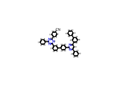 N#Cc1ccc(-c2nc(-c3ccccc3)nc(-c3cccc(-c4ccc(-c5nc(-c6ccccc6)cc(-c6cccc(-c7ccccc7)c6)n5)cc4)c3)n2)cc1